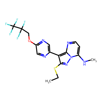 CCSc1nn2c(NC)ccnc2c1-c1cnc(OCC(F)(F)C(F)(F)F)cn1